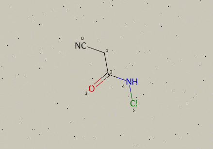 N#CCC(=O)NCl